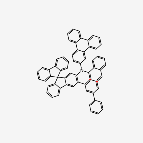 c1ccc(-c2cccc(-c3cc4c(cc3N(c3ccc5c6ccccc6c6ccccc6c5c3)c3cccc5ccccc35)C3(c5ccccc5-c5ccccc53)c3ccccc3-4)c2)cc1